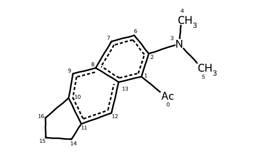 CC(=O)c1c(N(C)C)ccc2cc3c(cc12)CCC3